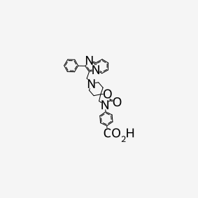 O=C(O)c1ccc(N2CC3(CCN(Cc4c(-c5ccccc5)nc5ccccn45)CC3)OC2=O)cc1